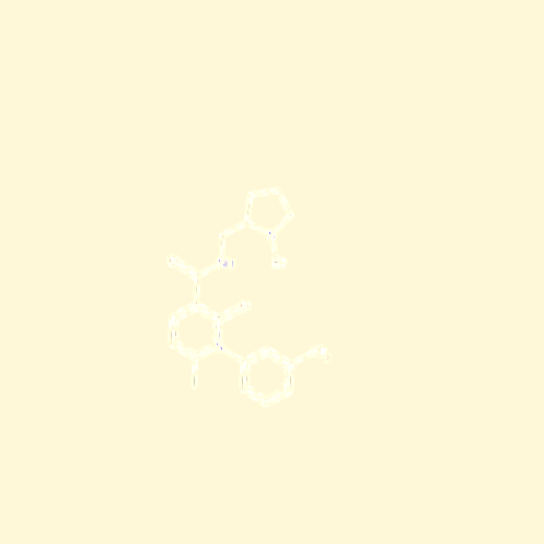 CCN1CCCC1CNC(=O)c1ccc(C)n(-c2cccc(C(F)(F)F)c2)c1=O